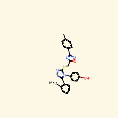 COc1ccccc1-c1nnc(SCc2nc(-c3ccc(C)cc3)no2)n1-c1ccc(O)cc1